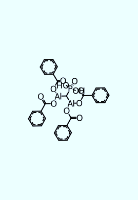 O=C([O][Al]([O]C(=O)c1ccccc1)[CH]([Al]([O]C(=O)c1ccccc1)[O]C(=O)c1ccccc1)P(=O)(O)O)c1ccccc1